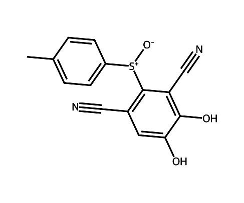 Cc1ccc([S+]([O-])c2c(C#N)cc(O)c(O)c2C#N)cc1